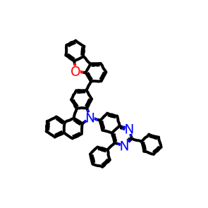 c1ccc(-c2nc(-c3ccccc3)c3cc(-n4c5cc(-c6cccc7c6oc6ccccc67)ccc5c5c6ccccc6ccc54)ccc3n2)cc1